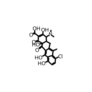 Cc1c2c(c(O)c3c(O)ccc(Cl)c13)C(=O)C1(O)C(=O)C(C(=O)O)=C(O)C(N(C)C)C1C2